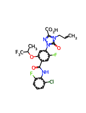 C=CCn1c(C(=O)O)nn(-c2cc(OC(C)C(F)(F)F)c(C(=O)Nc3c(F)cccc3Cl)cc2F)c1=O